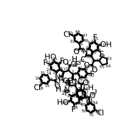 CC1=C(C(C(=O)[O-])c2c(C)n(C(=O)c3cccc(Cl)c3)c3cc(F)c(O)c(F)c23)c2c(cc(F)c(OC(=O)C(c3c(C)n(C(=O)c4cccc(Cl)c4)c4cc(F)c(O)c(F)c34)C3CCCC3)c2F)[N+]1(C(=O)c1cccc(Cl)c1)C(C(N)=O)c1c(C)n(C(=O)c2cccc(Cl)c2)c2cc(F)c(O)c(F)c12